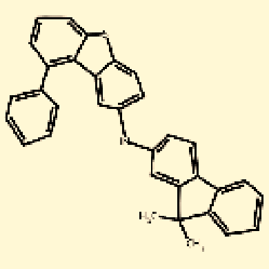 CC1(C)c2ccccc2-c2ccc(Nc3ccc4sc5cccc(-c6ccccc6)c5c4c3)cc21